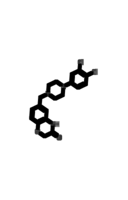 O=C1COc2ccc(CN3CCN(c4ccc(Cl)c(Cl)c4)CC3)cc2N1